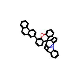 c1ccc2c(c1)Oc1c(-c3ccc4c(ccc5ccccc54)c3)cccc1C21c2ccccc2-n2c3ccccc3c3cccc1c32